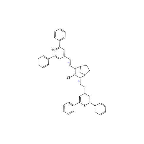 ClC1=C(/C=C/C2=CC(c3ccccc3)=[SH]C(c3ccccc3)=C2)C2CCC(C2)/C1=C\C=C1C=C(c2ccccc2)SC(c2ccccc2)=C1